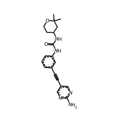 CC1(C)CC(NC(=O)Nc2cccc(C#Cc3cnc(N)nc3)c2)CCO1